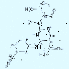 CC(C)[C@H](C=O)N(N)c1ncc(C(N)=O)c(Nc2cccc(C#N)c2)n1